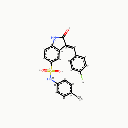 O=C1Nc2ccc(S(=O)(=O)Nc3ccc(C(F)(F)F)cc3)cc2C1=Cc1ccc(F)cc1